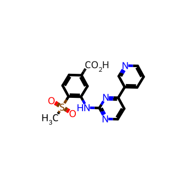 CS(=O)(=O)c1ccc(C(=O)O)cc1Nc1nccc(-c2cccnc2)n1